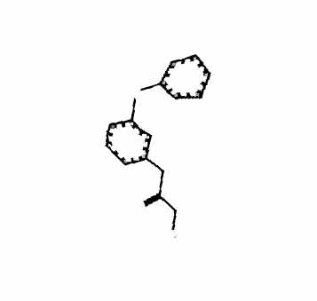 O=C(C[SiH3])Cc1cccc(Oc2ccccc2)c1